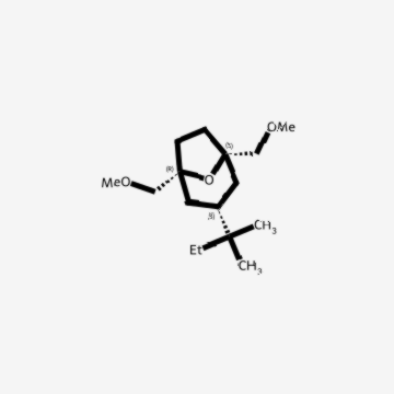 CCC(C)(C)[C@@H]1C[C@@]2(COC)CC[C@@](COC)(C1)O2